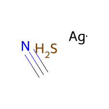 C#N.S.[Ag]